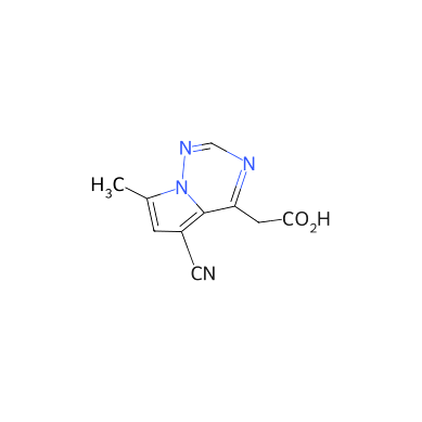 Cc1cc(C#N)c2c(CC(=O)O)ncnn12